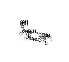 COC(=O)c1cc(S(=O)(=O)Nc2ccc(N3CCN(c4cccc(-c5c(C(=O)O)c(C)n(C(C)C)c5-c5ccc(Cl)cc5)c4)CC3)cc2)ccc1N[C@H](CCN1CCC(OP(=O)(O)O)CC1)CSc1ccccc1